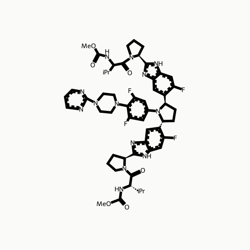 COC(=O)NC(C(=O)N1CCC[C@H]1c1nc2cc([C@H]3CC[C@H](c4cc5nc([C@@H]6CCCN6C(=O)[C@@H](NC(=O)OC)C(C)C)[nH]c5cc4F)N3c3cc(F)c(N4CCN(c5ncccn5)CC4)c(F)c3)c(F)cc2[nH]1)C(C)C